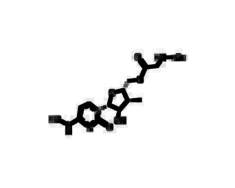 CCCCNCC(=O)OC[C@H]1O[C@@H](n2ccc(NO)nc2=O)[C@H](O)[C@@H]1C